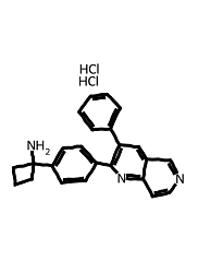 Cl.Cl.NC1(c2ccc(-c3nc4ccncc4cc3-c3ccccc3)cc2)CCC1